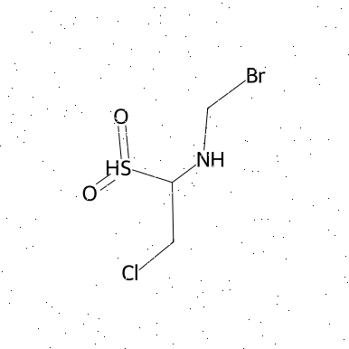 O=[SH](=O)C(CCl)NCBr